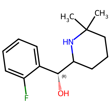 CC1(C)CCCC([C@H](O)c2ccccc2F)N1